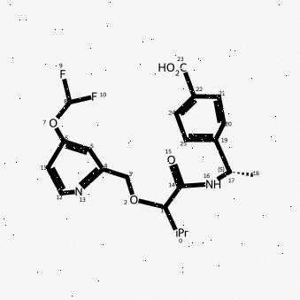 CC(C)C(OCc1cc(OC(F)F)ccn1)C(=O)N[C@@H](C)c1ccc(C(=O)O)cc1